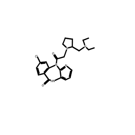 CCN(CC)CC1CCCN1CC(=O)N1c2cc(Cl)ccc2C(=O)Nc2cccnc21